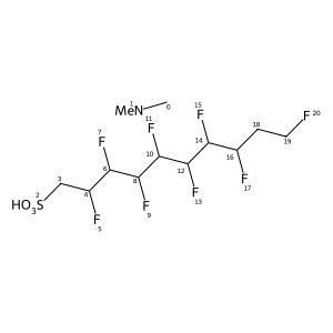 CNC.O=S(=O)(O)CC(F)C(F)C(F)C(F)C(F)C(F)C(F)CCF